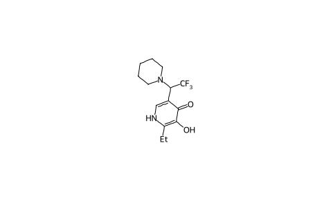 CCc1[nH]cc(C(N2CCCCC2)C(F)(F)F)c(=O)c1O